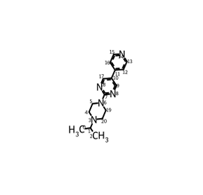 CC(C)N1CCN(c2ncc(-c3ccncc3)cn2)CC1